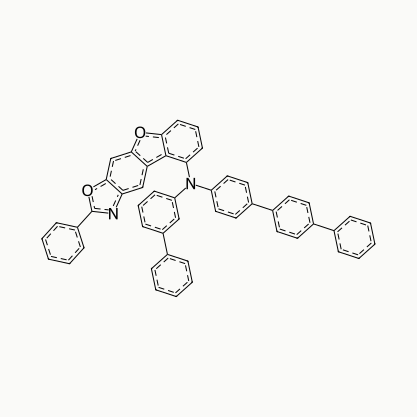 c1ccc(-c2ccc(-c3ccc(N(c4cccc(-c5ccccc5)c4)c4cccc5oc6cc7oc(-c8ccccc8)nc7cc6c45)cc3)cc2)cc1